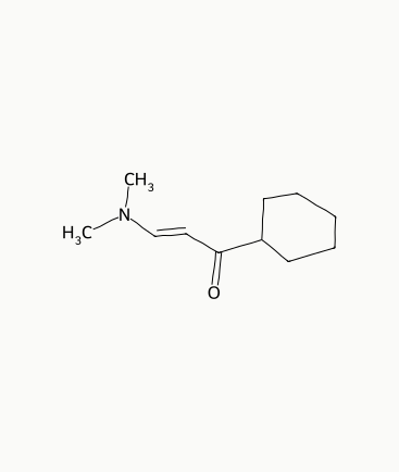 CN(C)C=CC(=O)C1CCCCC1